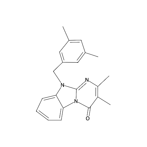 Cc1cc(C)cc(Cn2c3ccccc3n3c(=O)c(C)c(C)nc23)c1